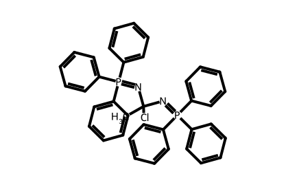 CC(Cl)(N=P(c1ccccc1)(c1ccccc1)c1ccccc1)N=P(c1ccccc1)(c1ccccc1)c1ccccc1